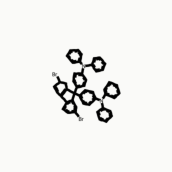 Brc1ccc2c(c1)C(c1ccc(N(c3ccccc3)c3ccccc3)cc1)(c1ccc(N(c3ccccc3)c3ccccc3)cc1)C1=C2C=CC(Br)C1